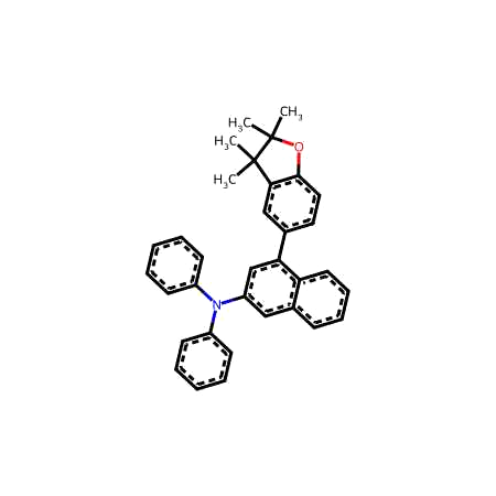 CC1(C)Oc2ccc(-c3cc(N(c4ccccc4)c4ccccc4)cc4ccccc34)cc2C1(C)C